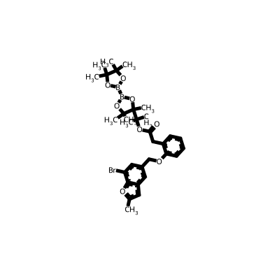 Cc1cc2cc(COc3ccccc3CC(=O)OC(C)(C)C3(C)OB(B4OC(C)(C)C(C)(C)O4)OC3(C)C)cc(Br)c2o1